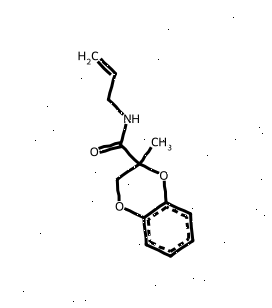 C=CCNC(=O)C1(C)COc2ccccc2O1